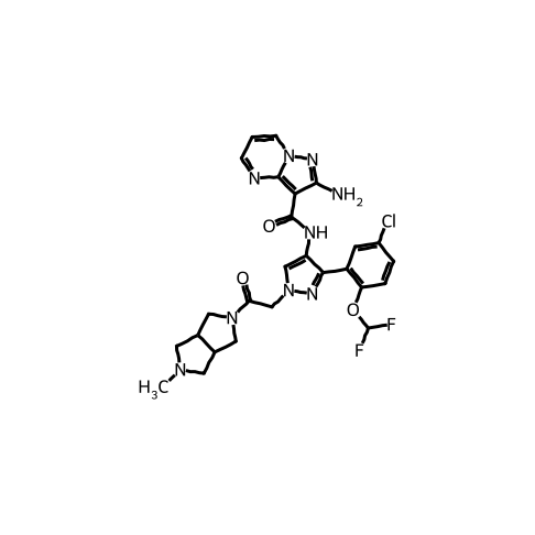 CN1CC2CN(C(=O)Cn3cc(NC(=O)c4c(N)nn5cccnc45)c(-c4cc(Cl)ccc4OC(F)F)n3)CC2C1